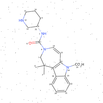 CC1(C)CN(C(=O)N[C@H]2CCCNC2)C=Cc2c1c1ccccc1n2C(=O)O